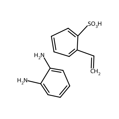 C=Cc1ccccc1S(=O)(=O)O.Nc1ccccc1N